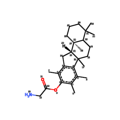 Cc1c(C)c2c(c(C)c1OC(=O)CN)C[C@H]1C2(C)CCC2C(C)(C)CCC[C@@]21C